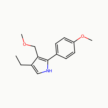 CCc1c[nH]c(-c2ccc(OC)cc2)c1COC